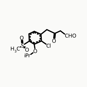 CC(C)Oc1c(S(C)(=O)=O)ccc(CC(=O)CC=O)c1Cl